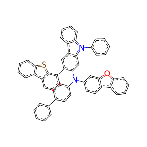 c1ccc(-c2ccc(N(c3ccc4c(c3)oc3ccccc34)c3cc4c(cc3-c3cccc5c3sc3ccccc35)c3ccccc3n4-c3ccccc3)cc2)cc1